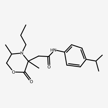 CCCN1C(C)COC(=O)C1(C)CC(=O)Nc1ccc(C(C)C)cc1